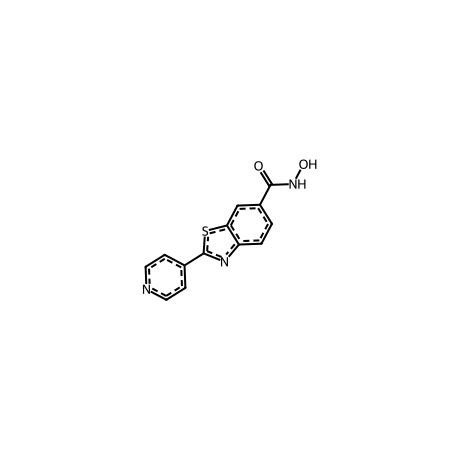 O=C(NO)c1ccc2nc(-c3ccncc3)sc2c1